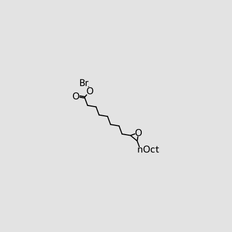 CCCCCCCCC1OC1CCCCCCCC(=O)OBr